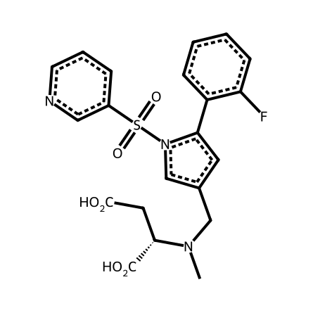 CN(Cc1cc(-c2ccccc2F)n(S(=O)(=O)c2cccnc2)c1)[C@@H](CC(=O)O)C(=O)O